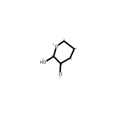 OC1OCCCC1Cl